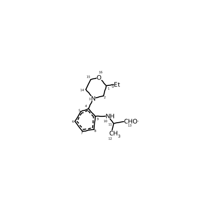 CCC1CN(c2ccccc2NC(C)[C]=O)CCO1